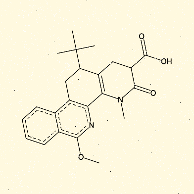 COc1nc2c(c3ccccc13)CC(C(C)(C)C)C1=C2N(C)C(=O)C(C(=O)O)C1